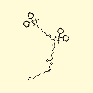 CCCCCCCC/C=C\COC(=O)CCCCCOCC(COCCCCCCO[Si](c1ccccc1)(c1ccccc1)C(C)(C)C)O[Si](c1ccccc1)(c1ccccc1)C(C)(C)C